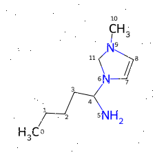 CCCCC(N)N1C=CN(C)C1